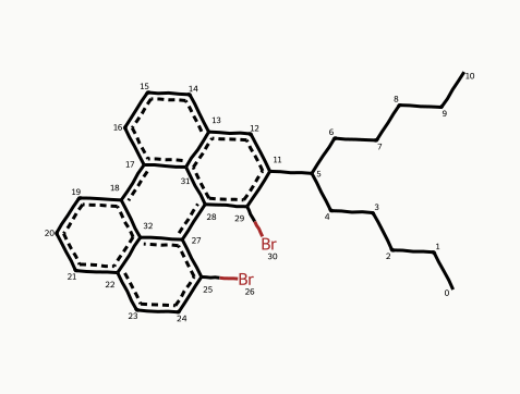 CCCCCC(CCCCC)c1cc2cccc3c4cccc5ccc(Br)c(c(c1Br)c23)c54